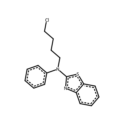 ClCCCCN(c1ccccc1)c1nc2ccccc2s1